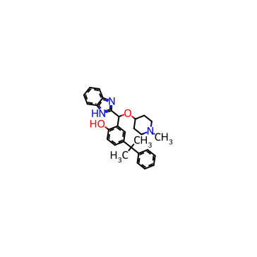 CN1CCC(OC(c2nc3ccccc3[nH]2)c2cc(C(C)(C)c3ccccc3)ccc2O)CC1